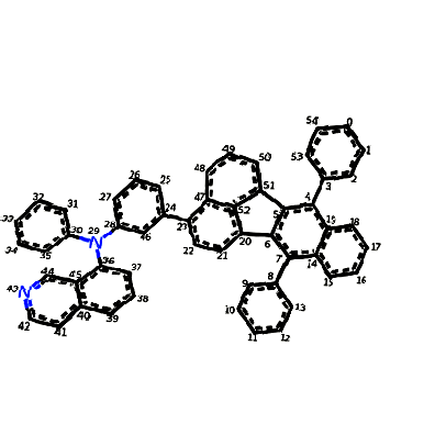 c1ccc(-c2c3c(c(-c4ccccc4)c4ccccc24)-c2ccc(-c4cccc(N(c5ccccc5)c5cccc6ccncc56)c4)c4cccc-3c24)cc1